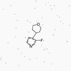 Fc1cnccc1C1CCOCC1